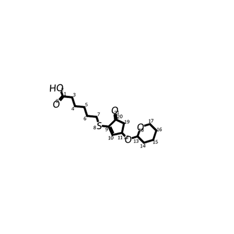 O=C(O)CCCCCSC1=CC(OC2CCCCO2)CC1=O